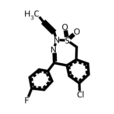 CC#CN1N=C(c2ccc(F)cc2)c2cc(Cl)ccc2CS1(=O)=O